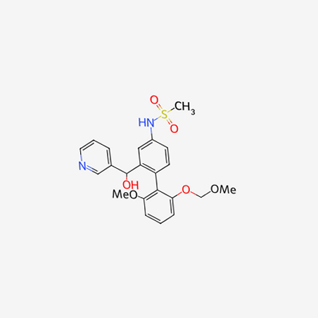 COCOc1cccc(OC)c1-c1ccc(NS(C)(=O)=O)cc1C(O)c1cccnc1